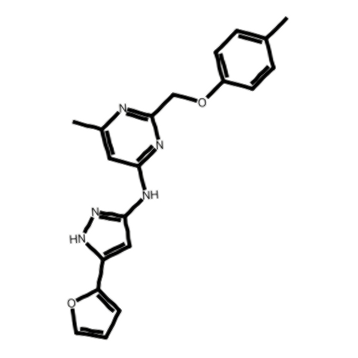 Cc1ccc(OCc2nc(C)cc(Nc3cc(-c4ccco4)[nH]n3)n2)cc1